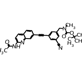 CC(=O)Nc1ccc2ccc(C#Cc3cc(C#N)cc(CN(C)C(=O)OC(C)(C)C)c3)cc2n1